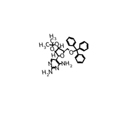 CC1(C)O[C@@H]2[C@H](O1)[C@@H](COC(c1ccccc1)(c1ccccc1)c1ccccc1)O[C@H]2c1cnc(N)nc1N